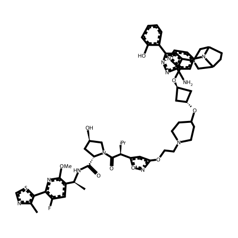 COc1nc(-c2scnc2C)c(F)cc1[C@H](C)NC(=O)[C@@H]1C[C@@H](O)CN1C(=O)[C@H](c1cc(OCCN2CCC(O[C@H]3C[C@H](Oc4cc(N5C6CCC5CN(c5cc(-c7ccccc7O)nnc5N)C6)ccn4)C3)CC2)no1)C(C)C